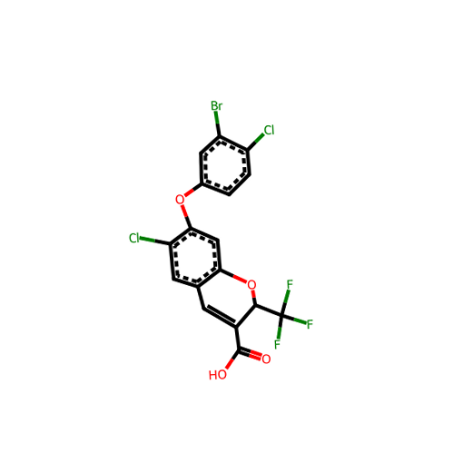 O=C(O)C1=Cc2cc(Cl)c(Oc3ccc(Cl)c(Br)c3)cc2OC1C(F)(F)F